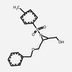 Cc1ccc(S(=O)(=O)N2C(CO)C2COCc2ccccc2)cc1